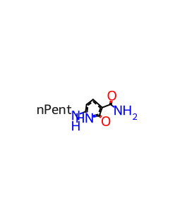 CCCCCNc1ccc(C(N)=O)c(=O)[nH]1